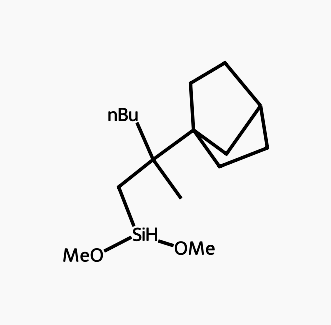 CCCCC(C)(C[SiH](OC)OC)C12CCC(CC1)C2